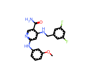 COc1cccc(Nc2cc(NCc3cc(F)cc(F)c3)c(C(N)=O)cn2)c1